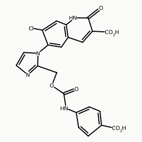 O=C(Nc1ccc(C(=O)O)cc1)OCc1nccn1-c1cc2cc(C(=O)O)c(=O)[nH]c2cc1Cl